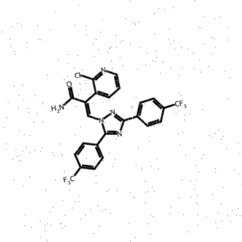 NC(=O)/C(=C/n1nc(-c2ccc(C(F)(F)F)cc2)nc1-c1ccc(C(F)(F)F)cc1)c1cccnc1Cl